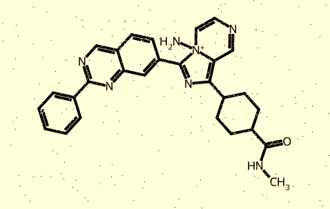 CNC(=O)C1CCC(C2=C3C=NC=C[N+]3(N)C(c3ccc4cnc(-c5ccccc5)nc4c3)=N2)CC1